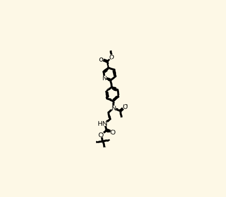 COC(=O)c1ccc(-c2ccc(N(CCNC(=O)OC(C)(C)C)C(C)=O)cc2)nc1